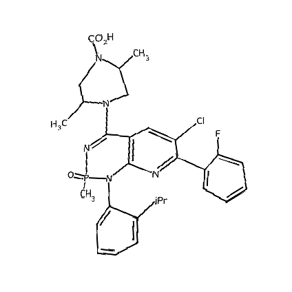 CC(C)c1ccccc1N1c2nc(-c3ccccc3F)c(Cl)cc2C(N2CC(C)N(C(=O)O)CC2C)=NP1(C)=O